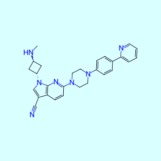 CN[C@H]1C[C@H](n2cc(C#N)c3ccc(N4CCN(c5ccc(-c6ccccn6)cc5)CC4)nc32)C1